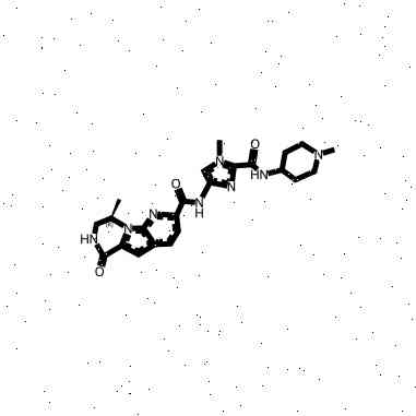 C[C@@H]1CNC(=O)c2cc3ccc(C(=O)Nc4cn(C)c(C(=O)NC5CCN(C)CC5)n4)nc3n21